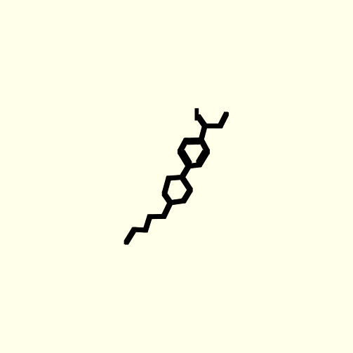 CCCCCC1CCC(c2ccc(C(I)CC)cc2)CC1